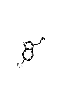 CC(C)Cc1[c]sc2cc(C(F)(F)F)ccc12